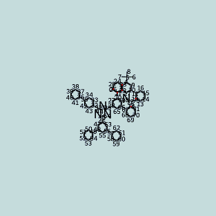 CCc1cc(C(C)(C)C)cc(-c2ccccc2)c1N(c1c(-c2ccccc2)cc(-c2nc(-c3ccc(-c4ccccc4)cc3)nc(-c3cc(-c4ccccc4)cc(-c4ccccc4)c3)n2)cc1-c1ccccc1)C(C)C